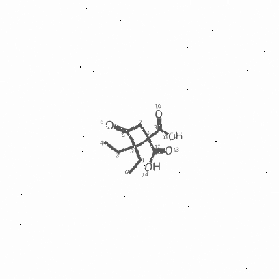 CCC1(CC)C(=O)CC1(C(=O)O)C(=O)O